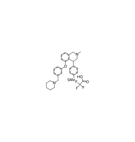 CSc1ccc(C2CN(C)Cc3cccc(Oc4cccc(CN5CCCCC5)c4)c32)cc1.O=C(O)C(F)(F)F